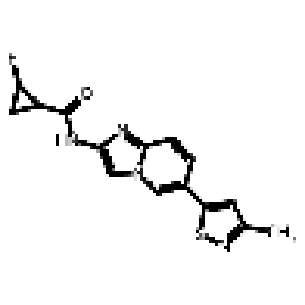 Cc1cc(-c2ccc3nc(NC(=O)C4CC4F)cn3c2)sn1